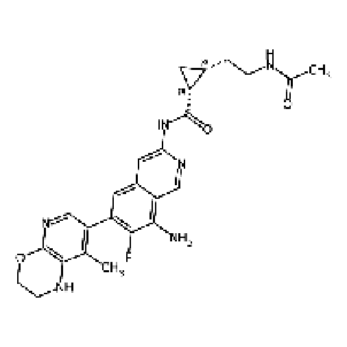 CC(=O)NCC[C@H]1C[C@H]1C(=O)Nc1cc2cc(-c3cnc4c(c3C)NCCO4)c(F)c(N)c2cn1